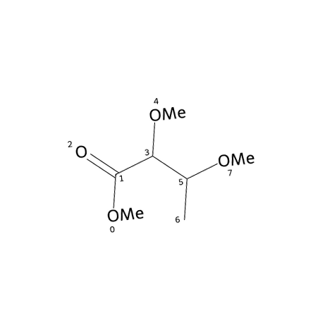 COC(=O)C(OC)C(C)OC